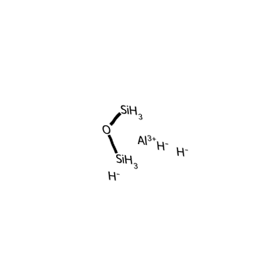 [Al+3].[H-].[H-].[H-].[SiH3]O[SiH3]